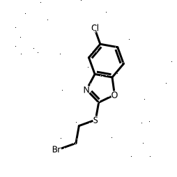 Clc1ccc2oc(SCCBr)nc2c1